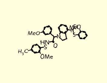 CCN(Sc1ccccc1OC)c1cccc2c1CCN2C(C(=O)NSc1ccc(C)cc1OC)c1cccc(OC)c1